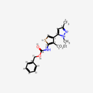 CCOC(=O)c1c(-c2cc(C(F)(F)F)nn2C)csc1NC(=O)OCc1ccccc1